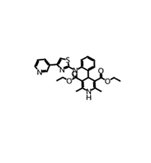 CCOC(=O)C1=C(C)NC(C)=C(C(=O)OCC)C1c1ccccc1Nc1nc(-c2cccnc2)cs1